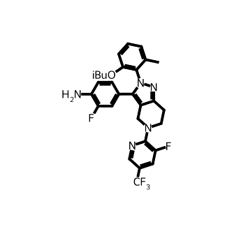 Cc1cccc(OCC(C)C)c1-n1nc2c(c1-c1ccc(N)c(F)c1)CN(c1ncc(C(F)(F)F)cc1F)CC2